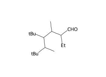 CCC(C=O)C(C)C(C(C)C(C)(C)C)C(C)(C)C